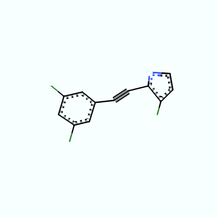 Clc1cc(Cl)cc(C#Cc2[nH]ccc2Cl)c1